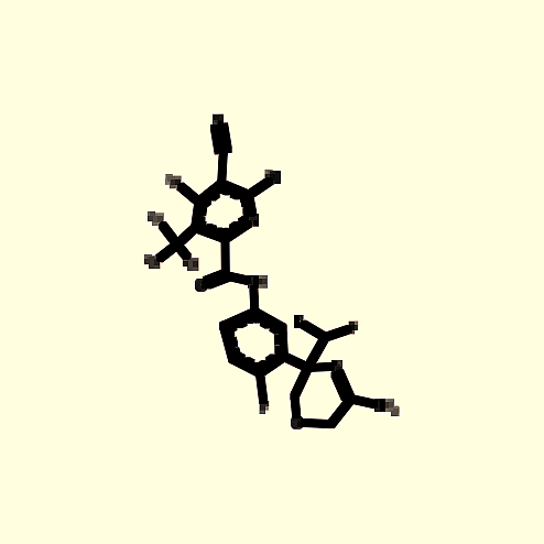 [2H]c1nc(C(=O)Nc2ccc(F)c(C3(C(F)F)COCC(N)=N3)c2)c(C([2H])([2H])[2H])c([2H])c1C#N